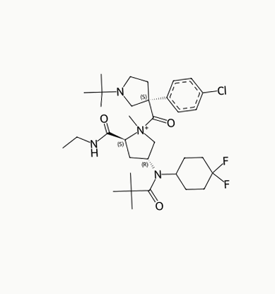 CCNC(=O)[C@@H]1C[C@@H](N(C(=O)C(C)(C)C)C2CCC(F)(F)CC2)C[N+]1(C)C(=O)[C@]1(c2ccc(Cl)cc2)CCN(C(C)(C)C)C1